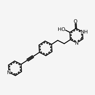 O=c1[nH]cnc(CCc2ccc(C#Cc3ccncc3)cc2)c1O